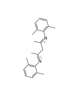 C/C(C/C(C)=N/c1c(C)cccc1C)=N\c1c(C)cccc1C